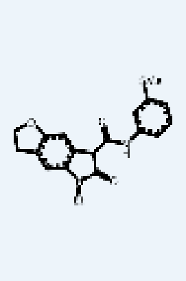 CCN1C(=O)C(C(=O)Nc2cccc(SC)c2)c2cc3c(cc21)CCO3